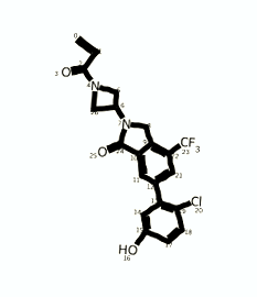 C=CC(=O)N1CC(N2Cc3c(cc(-c4cc(O)ccc4Cl)cc3C(F)(F)F)C2=O)C1